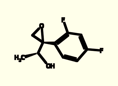 C[C@@H](O)[C@]1(c2ccc(F)cc2F)CO1